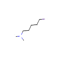 CC(C)N(C)CCCCCI